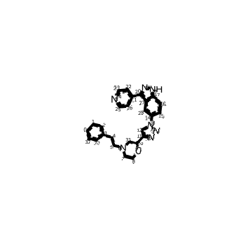 c1ccc(CCN2CCOC(c3cn(-c4ccc5[nH]nc(-c6ccncc6)c5c4)nn3)C2)cc1